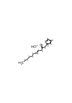 CCCCCCN=CCC(=O)Cc1cccs1.Cl